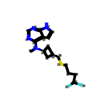 CN(c1ncnc2[nH]ccc12)[C@H]1C[C@@H](CSCCCC(F)F)C1